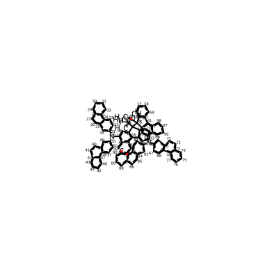 CC(C)(C)C1(C2(C(C)(C)C)c3ccccc3-c3c2cc(N(c2ccc4c(ccc5ccccc54)c2)c2ccc4c(ccc5ccccc54)c2)c2ccccc32)c2ccccc2-c2c1cc(N(c1ccc3c(ccc4ccccc43)c1)c1ccc3c(ccc4ccccc43)c1)c1ccccc21